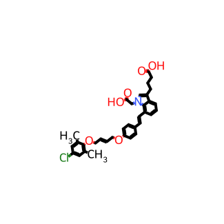 Cc1cc(Cl)cc(C)c1OCC=CCOc1ccc(C=Cc2cccc3c(CCCC(=O)O)cn(CC(=O)O)c23)cc1